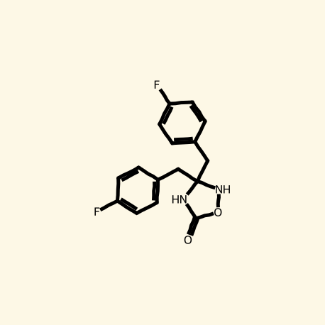 O=C1NC(Cc2ccc(F)cc2)(Cc2ccc(F)cc2)NO1